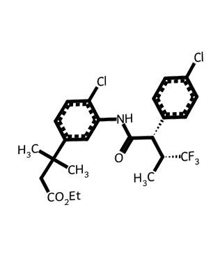 CCOC(=O)CC(C)(C)c1ccc(Cl)c(NC(=O)[C@H](c2ccc(Cl)cc2)[C@@H](C)C(F)(F)F)c1